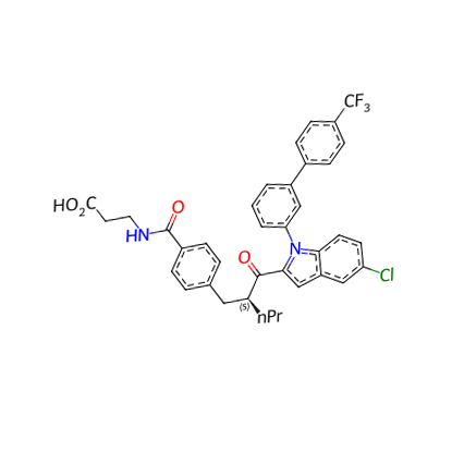 CCC[C@@H](Cc1ccc(C(=O)NCCC(=O)O)cc1)C(=O)c1cc2cc(Cl)ccc2n1-c1cccc(-c2ccc(C(F)(F)F)cc2)c1